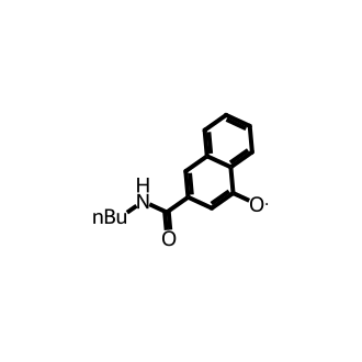 CCCCNC(=O)c1cc([O])c2ccccc2c1